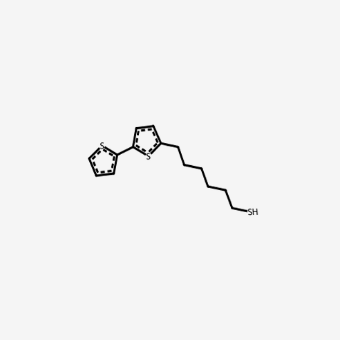 SCCCCCCc1ccc(-c2cccs2)s1